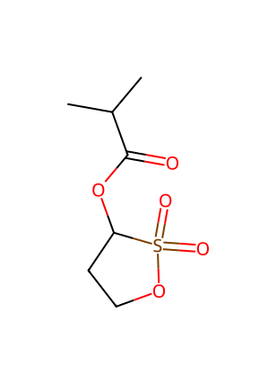 CC(C)C(=O)OC1CCOS1(=O)=O